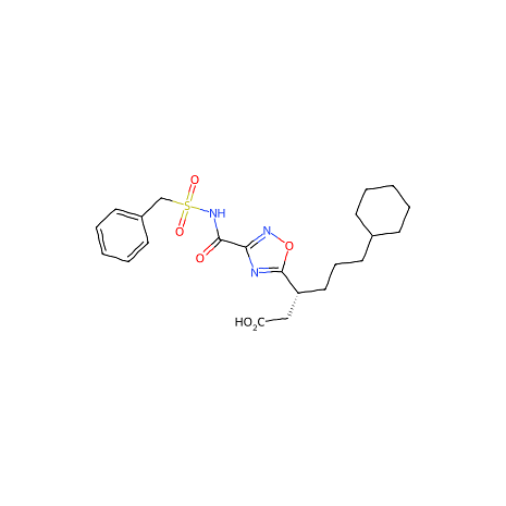 O=C(O)C[C@@H](CCCC1CCCCC1)c1nc(C(=O)NS(=O)(=O)Cc2ccccc2)no1